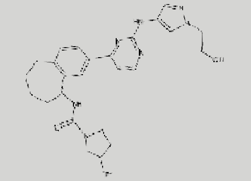 CC(C)C1CCN(C(=O)NC2CCCCc3ccc(-c4ccnc(Nc5cnn(CCO)c5)n4)cc32)C1